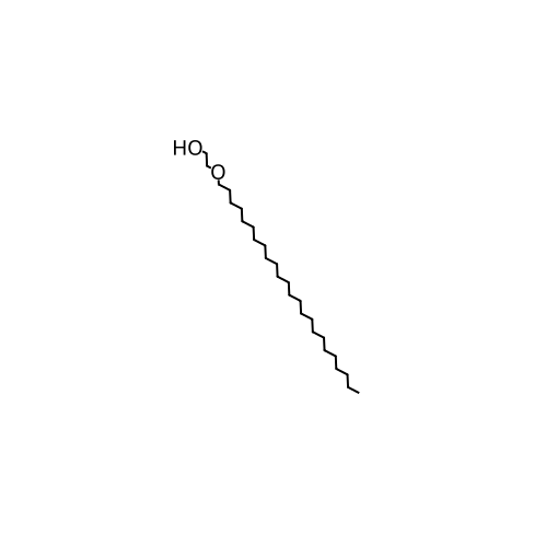 CCCCCCCCCCCCCCCCCCCCCCCCOCCO